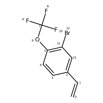 C=[C]c1ccc(OC(F)(F)F)c(Br)c1